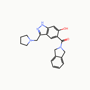 O=C(c1cc2c(CN3CCCC3)n[nH]c2cc1O)N1Cc2ccccc2C1